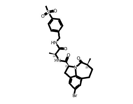 C[C@H](NC(=O)[C@@H]1Cc2cc(Br)cc3c2N1C(=O)[C@@H](C)CC3)C(=O)NCc1ccc(S(C)(=O)=O)cc1